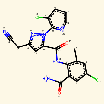 Cc1cc(Cl)cc(C(N)=O)c1NC(=O)c1cc(CC#N)nn1-c1ncccc1Cl